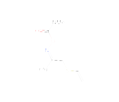 C=CSCC(=NOC(=O)NC)C(C)(C)C